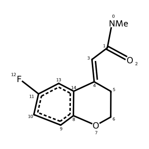 CNC(=O)/C=C1\CCOc2ccc(F)cc21